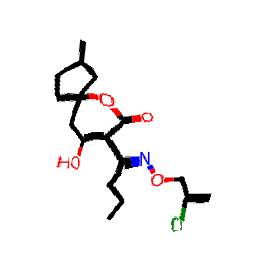 C=C(Cl)CON=C(CCC)C1=C(O)CC2(CCC(C)C2)OC1=O